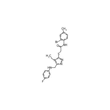 CCn1c(CNc2ccc(F)cc2)nnc1SCC(=O)Nc1ccc(C)cc1Br